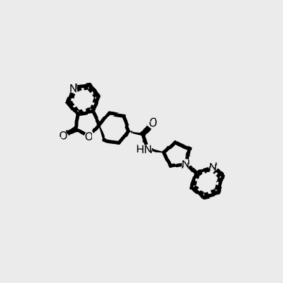 O=C1O[C@]2(CC[C@H](C(=O)N[C@H]3CCN(c4ccccn4)C3)CC2)c2ccncc21